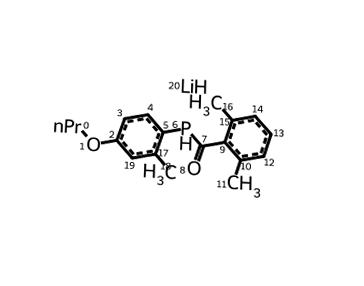 CCCOc1ccc(PC(=O)c2c(C)cccc2C)c(C)c1.[LiH]